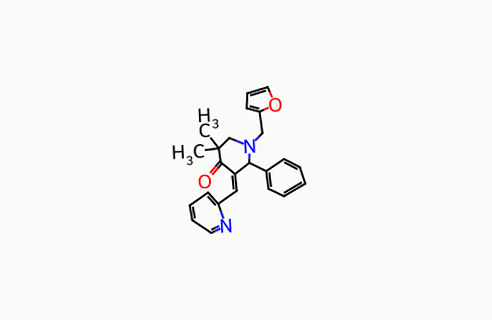 CC1(C)CN(Cc2ccco2)C(c2ccccc2)C(=Cc2ccccn2)C1=O